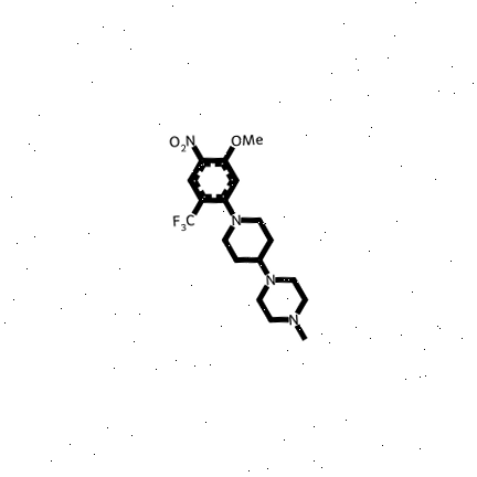 COc1cc(N2CCC(N3CCN(C)CC3)CC2)c(C(F)(F)F)cc1[N+](=O)[O-]